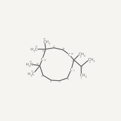 CC(C)C1(C)CCCCCC(C)(N)CC(C)(C)CCC1